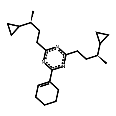 C[C@@H](CCc1nc(CC[C@H](C)C2CC2)nc(C2=CCCCC2)n1)C1CC1